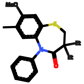 CCC1(CC)CSc2cc(OC)c(C)cc2N(c2ccccc2)C1=O